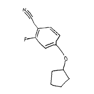 N#Cc1ccc(OC2CCCC2)cc1F